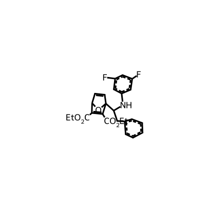 CCOC(=O)C1=C(C(=O)OCC)C2(C(Cc3ccccc3)Nc3cc(F)cc(F)c3)C=CC1O2